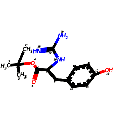 CC(C)(C)OC(=O)C(Cc1ccc(O)cc1)NC(=N)N